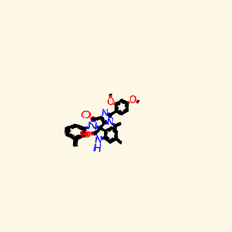 COc1ccc(-c2nc3c(n2C(C)C)C2(C(=O)Nc4cc(C)ccc42)N(c2cccc(C)c2)C3=O)c(OC)c1